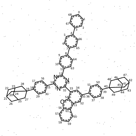 c1ccc(-c2ccc(-c3ccc(-c4nc(-c5ccc(C67CC8CC(CC(C8)C6)C7)cc5)nc(-c5cc(-c6ccc(C78CC9CC(CC(C9)C7)C8)cc6)cc6c5oc5ccccc56)n4)cc3)cc2)cc1